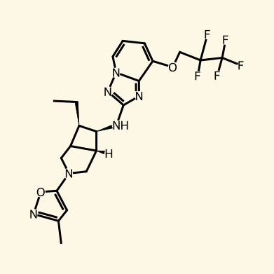 CC[C@@H]1C2CN(c3cc(C)no3)C[C@H]2[C@@H]1Nc1nc2c(OCC(F)(F)C(F)(F)F)cccn2n1